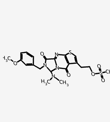 COc1cccc(CN2C(=O)c3nc4scc(CCOS(C)(=O)=O)c4c(=O)n3C2N(C)C)c1